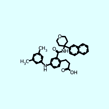 Cc1cc(C)cc(Nc2ccc(CCC(=O)O)c(C(=O)NC3(c4ccc5ccccc5c4)CCOCC3)c2)c1